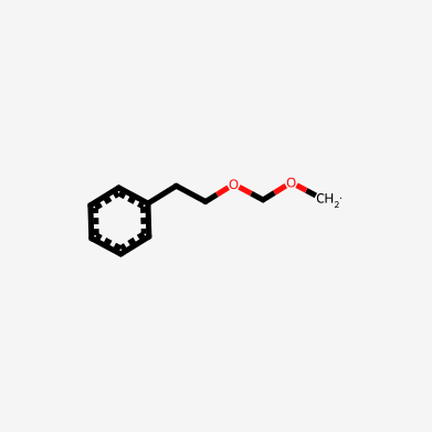 [CH2]OCOCCc1ccccc1